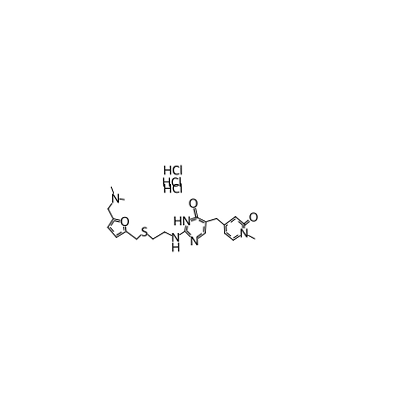 CN(C)Cc1ccc(CSCCNc2ncc(Cc3ccn(C)c(=O)c3)c(=O)[nH]2)o1.Cl.Cl.Cl